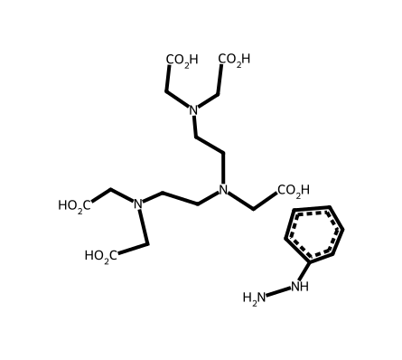 NNc1ccccc1.O=C(O)CN(CCN(CC(=O)O)CC(=O)O)CCN(CC(=O)O)CC(=O)O